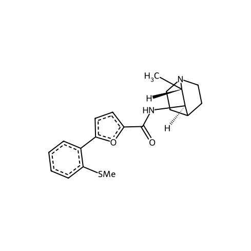 CSc1ccccc1-c1ccc(C(=O)N[C@@H]2C3CCN(CC3)[C@H]2C)o1